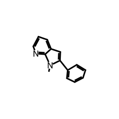 Cn1c(-c2ccccc2)cc2cccnc21